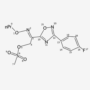 CCCO/N=C(\COS(C)(=O)=O)c1nc(-c2ccc(F)cc2)no1